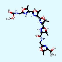 COC(=O)c1nc(CNC(=O)c2nc(-c3nc(-c4nc(-c5nc(CNC(=O)OC(C)(C)C)oc5C)oc4C)oc3C)oc2C)oc1C